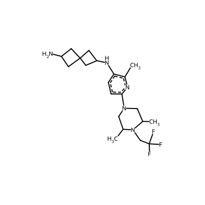 Cc1nc(N2CC(C)N(CC(F)(F)F)C(C)C2)ccc1NC1CC2(CC(N)C2)C1